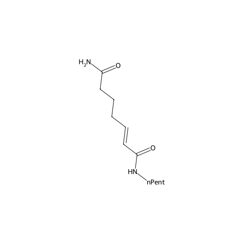 CCCCCNC(=O)C=CCCCC(N)=O